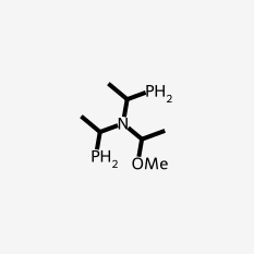 COC(C)N(C(C)P)C(C)P